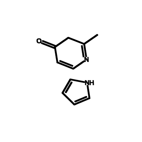 CC1=NC=CC(=O)C1.c1cc[nH]c1